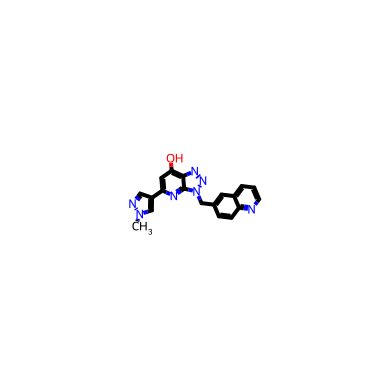 Cn1cc(-c2cc(O)c3nnn(Cc4ccc5ncccc5c4)c3n2)cn1